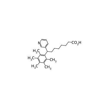 Cc1c(C)c(C)c(C(CCCCCCC(=O)O)c2cccnc2)c(C)c1C